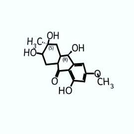 COc1cc(O)c2c(c1)[C@H](O)C1C[C@](C)(O)C(O)CC1C2=O